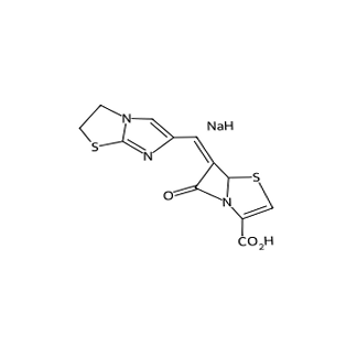 O=C(O)C1=CSC2C(=Cc3cn4c(n3)SCC4)C(=O)N12.[NaH]